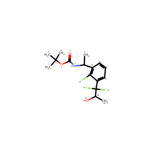 CC(NC(=O)OC(C)(C)C)c1cccc(C(F)(F)C(C)O)c1F